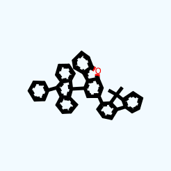 CC1(C)c2ccccc2-c2cccc(-c3cc(-c4c5ccccc5c(-c5ccccc5)c5ccccc45)c4c(c3)oc3ccccc34)c21